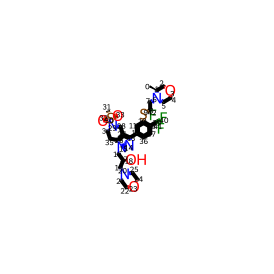 C[C@H]1COCCN1CCSc1cc(-c2nn(C[C@@H](O)CN3CCOCC3)c3c2CN(S(C)(=O)=O)CC3)ccc1C(F)(F)F